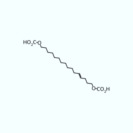 O=C(O)OCCCC=CCCCCCCCCCCCOC(=O)O